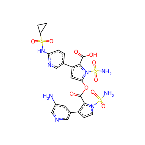 Nc1cncc(-c2ccn(S(N)(=O)=O)c2C(=O)Oc2cc(-c3ccc(NS(=O)(=O)C4CC4)nc3)c(C(=O)O)n2S(N)(=O)=O)c1